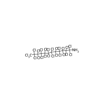 NC(Cl)(Cl)C(Cl)(Cl)C(Cl)(Cl)C(Cl)(Cl)C(Cl)(Cl)C(Cl)(Cl)C(Cl)(Cl)C(Cl)(Cl)C(Cl)(Cl)C(Cl)(Cl)C(Cl)(Cl)C(Cl)(Cl)Cl